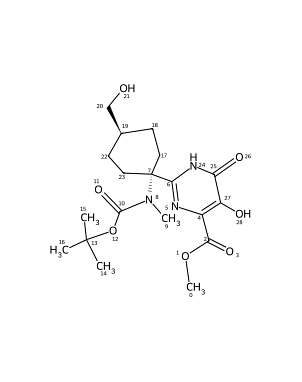 COC(=O)c1nc([C@]2(N(C)C(=O)OC(C)(C)C)CC[C@H](CO)CC2)[nH]c(=O)c1O